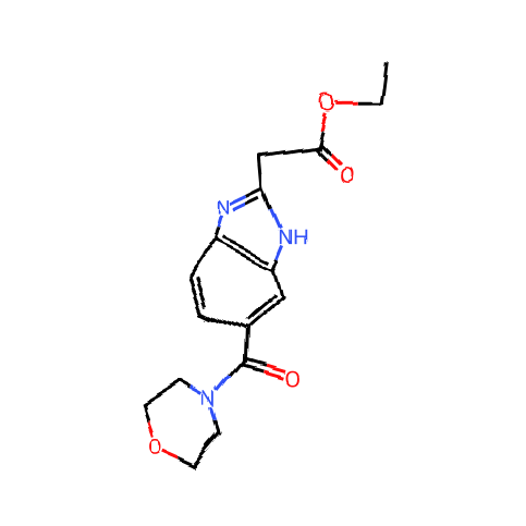 CCOC(=O)Cc1nc2ccc(C(=O)N3CCOCC3)cc2[nH]1